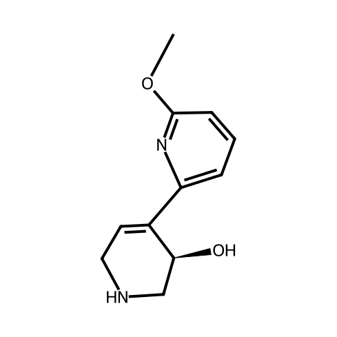 COc1cccc(C2=CCNC[C@@H]2O)n1